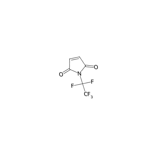 O=C1C=CC(=O)N1C(F)(F)C(F)(F)F